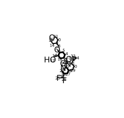 O=S(=O)(c1ccc(OCC2CCOCC2)c(CO)c1)N1c2ncc(C(F)F)cc2CCC1C1CC1